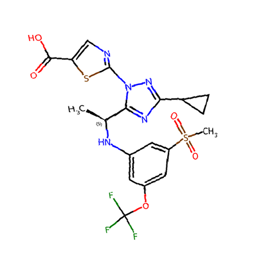 C[C@H](Nc1cc(OC(F)(F)F)cc(S(C)(=O)=O)c1)c1nc(C2CC2)nn1-c1ncc(C(=O)O)s1